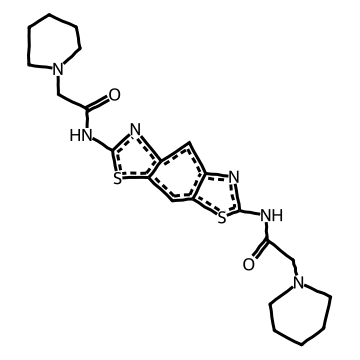 O=C(CN1CCCCC1)Nc1nc2cc3nc(NC(=O)CN4CCCCC4)sc3cc2s1